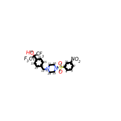 O=[N+]([O-])c1cccc(S(=O)(=O)N2CCN(Cc3ccc(C(O)(C(F)(F)F)C(F)(F)F)cc3)CC2)c1